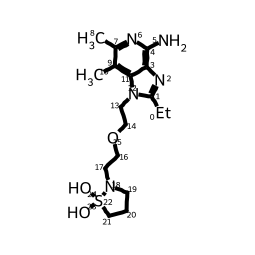 CCc1nc2c(N)nc(C)c(C)c2n1CCOCCN1CCCS1(O)O